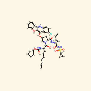 C=CCCCCC[C@H](NC(=O)OC1CCCC1)C(=O)N1CC(Oc2c3cc(F)ccc3nc3c2oc2ccccc23)C[C@H]1C(=O)N[C@]1(C(=O)NS(=O)(=O)C2CC2)C[C@H]1C=C